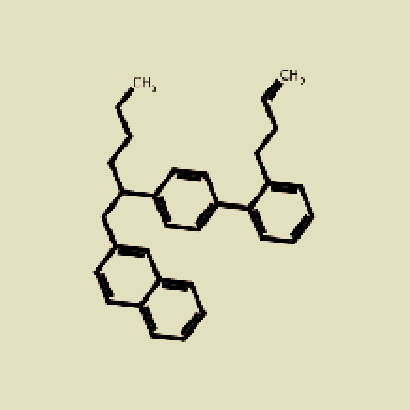 C=CCCc1ccccc1-c1ccc(C(CCCC)Cc2ccc3ccccc3c2)cc1